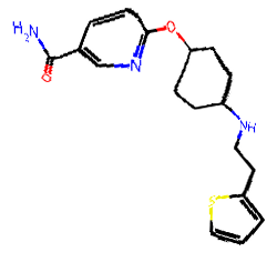 NC(=O)c1ccc(OC2CCC(NCCc3cccs3)CC2)nc1